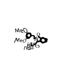 CCCCNC(=O)C1c2ccccc2C(=O)N1CCc1cc(OC)cc(OC)c1